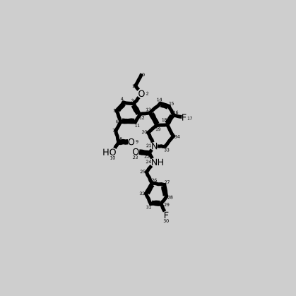 CCOc1ccc(CC(=O)O)cc1-c1ccc(F)c2c1CN(C(=O)NCc1ccc(F)cc1)CC2